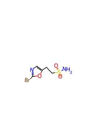 NS(=O)(=O)CCc1cnc(Br)o1